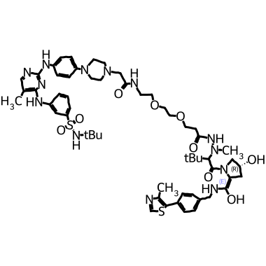 Cc1cnc(Nc2ccc(N3CCN(CC(=O)NCCOCCOCCC(=O)NN(C)C(C(=O)N4C[C@H](O)C/C4=C(\O)NCc4ccc(-c5scnc5C)cc4)C(C)(C)C)CC3)cc2)nc1Nc1cccc(S(=O)(=O)NC(C)(C)C)c1